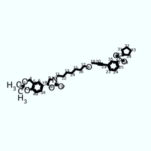 CC1(C)OCc2cc([C@@H]3CN(CCCCCCCOCC#Cc4cccc(S(=O)(=O)C5CCCC5)c4)C(=O)O3)ccc2O1